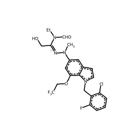 CCN(C=O)/C(CO)=N\N(C)c1cc(OCC(F)(F)F)c2c(ccn2Cc2c(F)cccc2Cl)c1